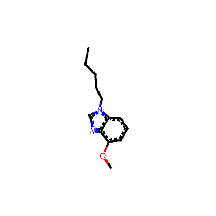 CCCCCn1cnc2c(OC)cccc21